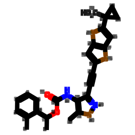 Cc1ccccc1C(C)OC(=O)Nc1c(C#Cc2cc3sc(C4(C(=O)O)CC4)cc3s2)nsc1C